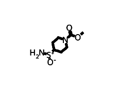 COC(=O)N1CCC([S+](N)[O-])CC1